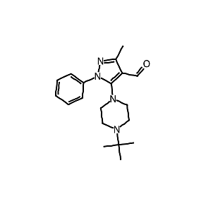 Cc1nn(-c2ccccc2)c(N2CCN(C(C)(C)C)CC2)c1C=O